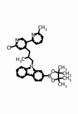 Cc1cccc(-c2cnc(Cl)cc2CC(C)Cn2c3ccccc3c3ccc(B4OC(C)(C)C(C)(C)O4)cc32)n1